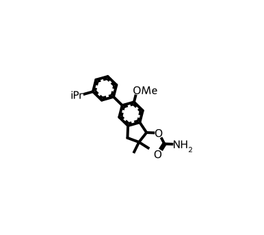 COc1cc2c(cc1-c1cccc(C(C)C)c1)CC(C)(C)C2OC(N)=O